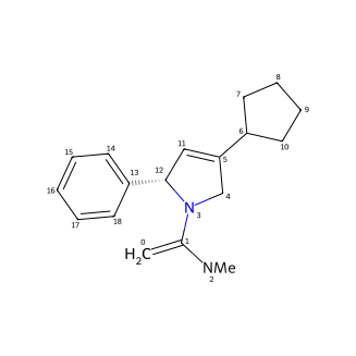 C=C(NC)N1CC(C2CCCC2)=C[C@H]1c1ccccc1